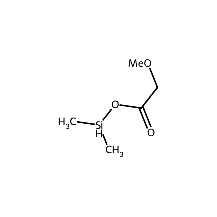 COCC(=O)O[SiH](C)C